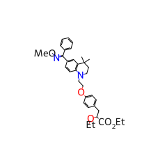 CCOC(=O)C(Cc1ccc(OCCN2CCC(C)(C)c3cc(C(=NOC)c4ccccc4)ccc32)cc1)OCC